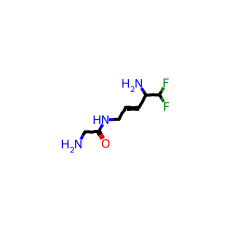 NCC(=O)NC/C=C/C(N)C(F)F